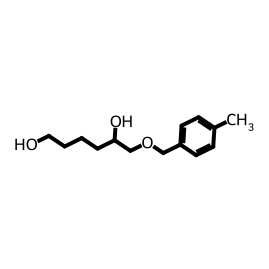 Cc1ccc(COCC(O)CCCCO)cc1